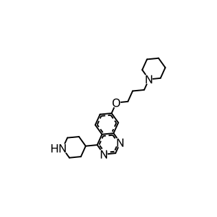 c1nc(C2CCNCC2)c2ccc(OCCCN3CCCCC3)cc2n1